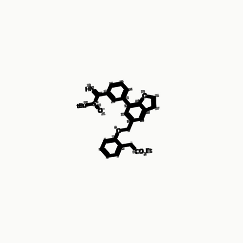 CCOC(=O)Cc1ccccc1OCc1cc(-c2cccc(C(=N)[S+]([O-])C(C)(C)C)c2)c2occc2c1